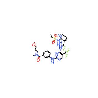 CCS(=O)(=O)Nc1ncccc1CNc1nc(Nc2cccc(C(=O)N(C)CCCOC)c2)ncc1C(F)(F)F